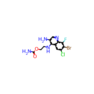 NC(=O)OCCNc1c(N)cnc2c(F)c(Br)c(Cl)cc12